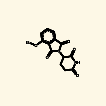 CCOc1cccc2c1C(=O)N(C1CCC(=O)NC1=O)C2=O